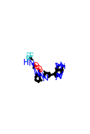 Cc1cc(-c2cncc3c2cnn3C)cnc1-n1c(=O)n(CC(=O)NCC(F)(F)F)c2cccc(C)c21